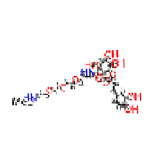 CONCCCOCCOCCOCCCNC(=O)C1(O)CC(O)C(O)C(OC(=O)/C=C/c2ccc(O)c(O)c2)C1